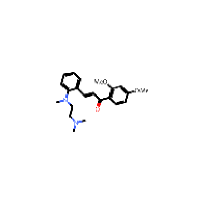 COc1ccc(C(=O)C=Cc2ccccc2N(C)CCN(C)C)c(OC)c1